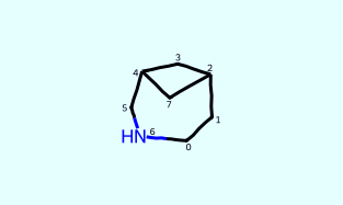 C1CC2C[C](CN1)C2